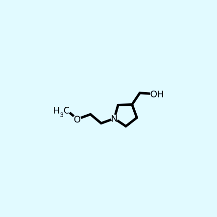 COCCN1CCC(CO)C1